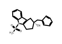 CS(=O)(=O)n1c2c(c3ccccc31)C[C@@](C#N)(Cc1ccccc1)CC2